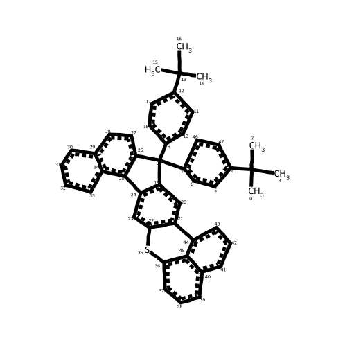 CC(C)(C)c1ccc(C2(c3ccc(C(C)(C)C)cc3)c3cc4c(cc3-c3c2ccc2ccccc32)Sc2cccc3cccc-4c23)cc1